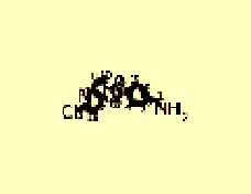 NCc1ccc(S(=O)(=O)n2ccc3nc(Cl)ccc32)cc1